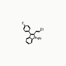 CC/C=C/c1c(-c2ccc(F)cc2)c2ccccc2n1C(C)C